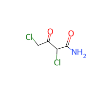 NC(=O)C(Cl)C(=O)CCl